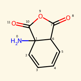 NC12C=CC=CC1C(=O)OC2=O